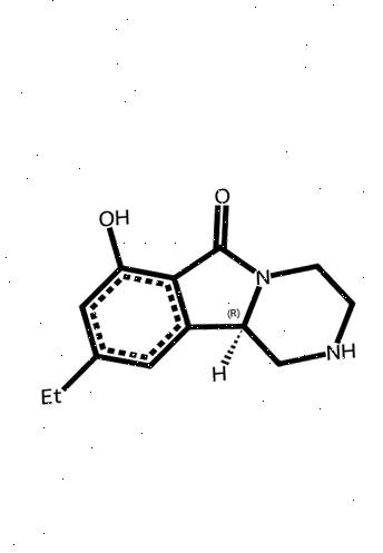 CCc1cc(O)c2c(c1)[C@@H]1CNCCN1C2=O